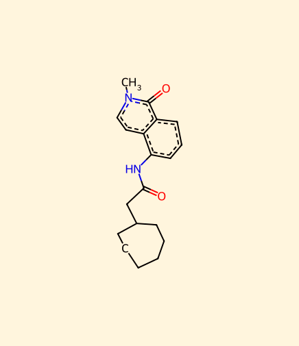 Cn1ccc2c(NC(=O)CC3CCCCCC3)cccc2c1=O